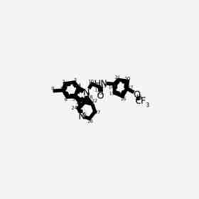 Cc1ccc2c(c1)c1c(n2CC(=O)Nc2ccc(OC(F)(F)F)cc2)C2CCN(CC2)C1